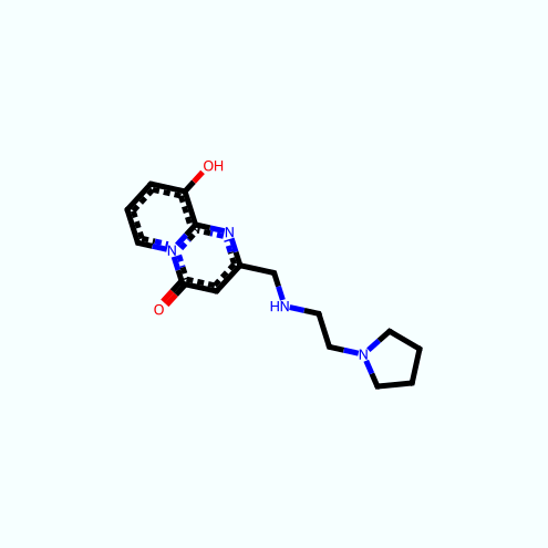 O=c1cc(CNCCN2CCCC2)nc2c(O)cccn12